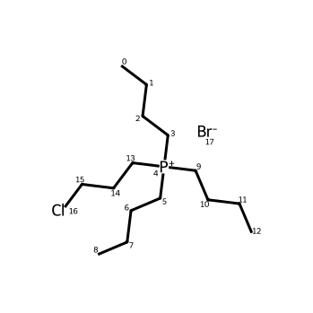 CCCC[P+](CCCC)(CCCC)CCCCl.[Br-]